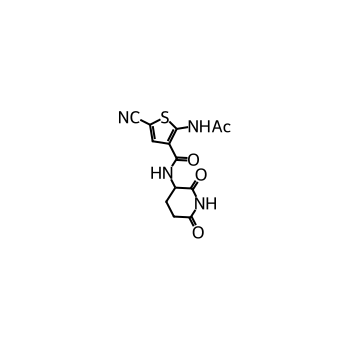 CC(=O)Nc1sc(C#N)cc1C(=O)NC1CCC(=O)NC1=O